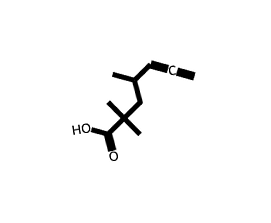 C=C=CC(C)CC(C)(C)C(=O)O